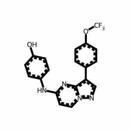 Oc1ccc(Nc2ccn3ncc(-c4ccc(OC(F)(F)F)cc4)c3n2)cc1